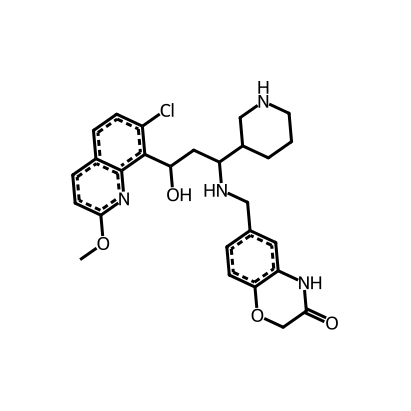 COc1ccc2ccc(Cl)c(C(O)CC(NCc3ccc4c(c3)NC(=O)CO4)C3CCCNC3)c2n1